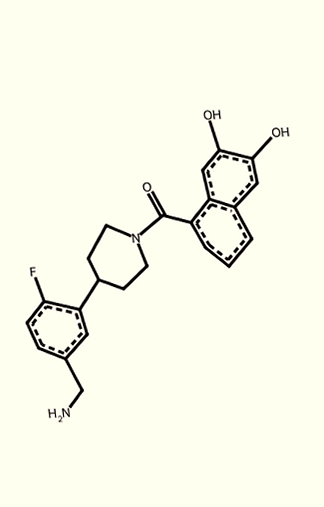 NCc1ccc(F)c(C2CCN(C(=O)c3cccc4cc(O)c(O)cc34)CC2)c1